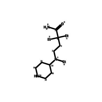 CCN(CCC(CC)(CC)C(N)=O)C1CCNCC1